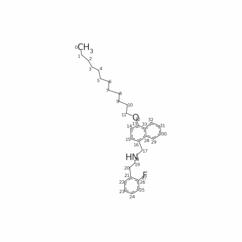 CCCCCCCCCCCCOc1ccc(CNCCc2ccccc2F)c2ccccc12